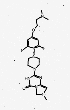 CN(C)CCOc1cc(F)c(N2CCN(C3=NC4=CN(C)CN4C(=O)N3)CC2)c(F)c1